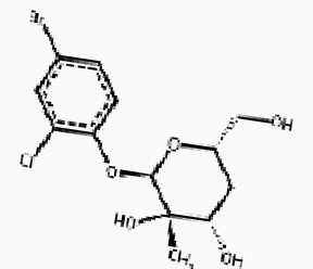 C[C@@]1(O)[C@@H](Oc2ccc(Br)cc2Cl)O[C@H](CO)C[C@@H]1O